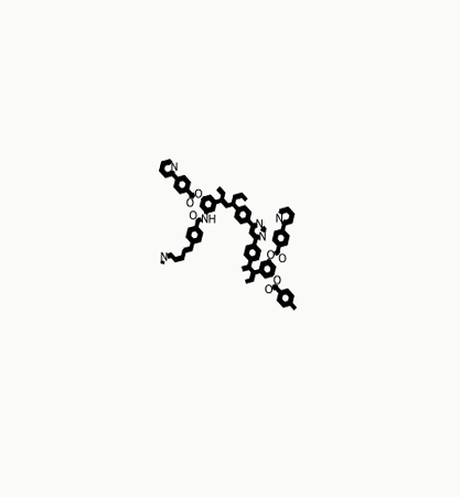 C=CC(=CC(/C=C\C)c1ccc(-c2cc(-c3ccc(C(=C)/C(=C\C)c4cc(OC(=O)c5ccc(C)cc5)cc(OC(=O)c5ccc(-c6ccccn6)cc5)c4)cc3)ncn2)cc1)c1cc(NC(=O)c2ccc(/C=C/C=C\C=N/C)cc2)cc(OC(=O)c2ccc(-c3ccccn3)cc2)c1